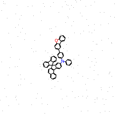 c1ccc(N(c2ccc(-c3ccc4oc5ccccc5c4c3)cc2)c2ccc3c(c2)C2(c4ccccc4-c4ccccc42)c2ccc4ccccc4c2-3)cc1